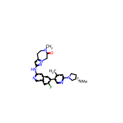 CN[C@H]1CCN(c2cc(C)c(-c3cc4cc(Nc5cc6n(n5)CC(=O)N(C)CC6)ncc4cc3F)cn2)C1